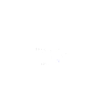 CCCc1nc(Br)sc1C(=O)O